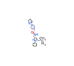 CC(C)Cc1cc(CNC(=O)CN2CCN(c3ncccn3)CC2)nn1-c1ccccc1